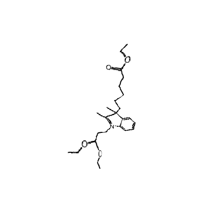 CCOC(=O)CCCCCC1(C)C(C)=[N+](CCC(OCC)OCC)c2ccccc21